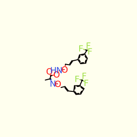 CC(=NOC/C=C/c1cccc(C(F)(F)F)c1)C(=O)ONOC/C=C/c1cccc(C(F)(F)F)c1